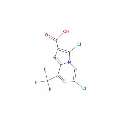 O=C(O)c1nc2c(C(F)(F)F)cc(Cl)cn2c1Cl